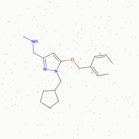 C/C=C\C(=C/C)COc1cc(CNC)nn1CC1CCCC1